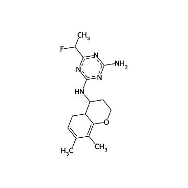 CC1=CCC2C(=C1C)OCCC2Nc1nc(N)nc(C(C)F)n1